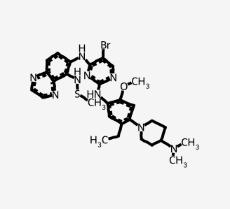 CCc1cc(Nc2ncc(Br)c(Nc3ccc4nccnc4c3NSC)n2)c(OC)cc1N1CCC(N(C)C)CC1